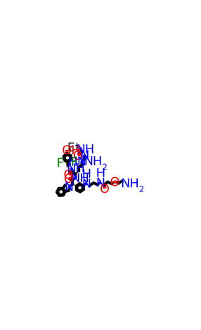 CCNC(=O)/N=C(/N)NCCC[C@@H](NC(=O)[C@H](c1cccc(NCCCNC(=O)CCOCCN)c1)N1Cc2ccccc2C1)C(=O)NCc1c(F)cc(O)cc1F